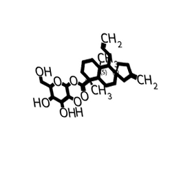 C=CCC1[C@@]2(CCC(=C)C2)CCC2[C@@]1(C)CCC[C@@]2(C)C(=O)OC1OC(CO)C(O)C(O)C1O